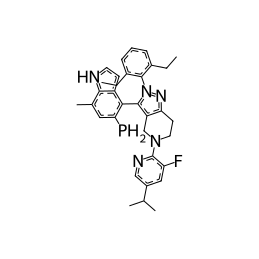 CCc1cccc(CC)c1-n1nc2c(c1-c1c(P)cc(C)c3[nH]ccc13)CN(c1ncc(C(C)C)cc1F)CC2